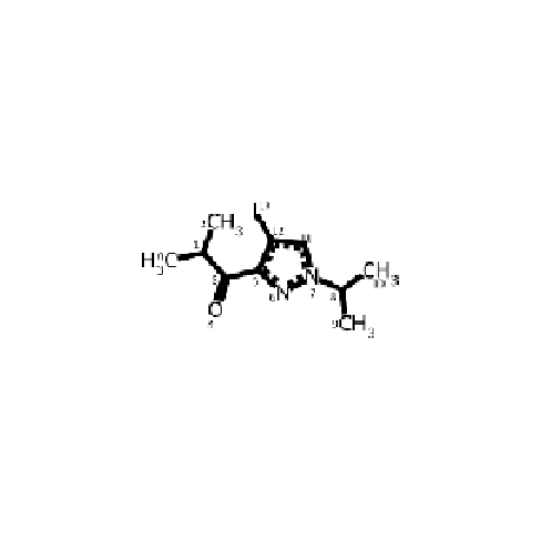 CC(C)C(=O)c1nn(C(C)C)cc1I